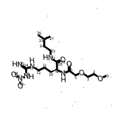 COCCOCC(=O)N[C@@H](CCCNC(=N)N[N+](=O)[O-])C(=O)NCCC(C)C